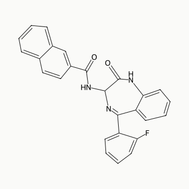 O=C(NC1N=C(c2ccccc2F)c2ccccc2NC1=O)c1ccc2ccccc2c1